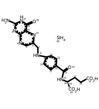 Nc1nc2ncc(CNc3ccc(C(=O)N[C@@H](CCC(=O)O)C(=O)O)cc3)nc2c(=O)[nH]1.[SiH4]